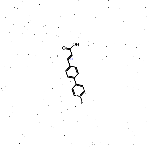 O=C(O)/C=C/c1ccc(-c2ccc(F)cc2)cc1